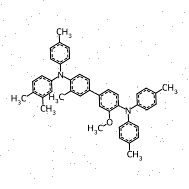 COc1cc(-c2ccc(N(c3ccc(C)cc3)c3ccc(C)c(C)c3)c(C)c2)ccc1N(c1ccc(C)cc1)c1ccc(C)cc1